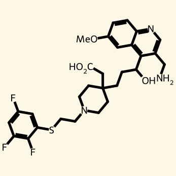 COc1ccc2ncc(CN)c(C(O)CCC3(CC(=O)O)CCN(CCSc4cc(F)cc(F)c4F)CC3)c2c1